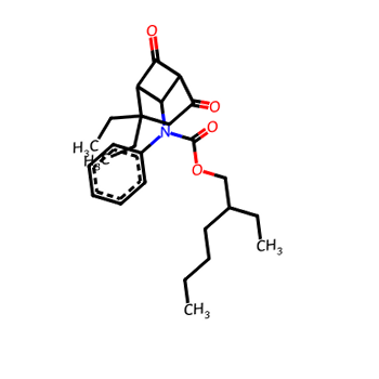 CCCCC(CC)COC(=O)N(c1ccccc1)C1C2C(=O)CC(CC)(CC)C1C2=O